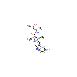 CC(=O)CC(C)NC(=O)c1c(C)[nH]c(/C=C2\C(=O)Nc3ccc(F)cc32)c1C